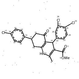 COC(=O)C1=C(C)NC2=C(C(=O)CC(c3ccc(Cl)cc3)C2)C1c1ccc(Cl)c(Cl)c1